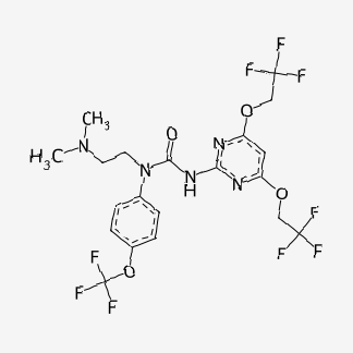 CN(C)CCN(C(=O)Nc1nc(OCC(F)(F)F)cc(OCC(F)(F)F)n1)c1ccc(OC(F)(F)F)cc1